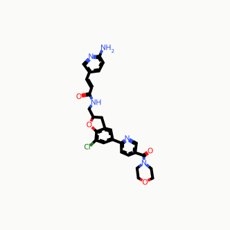 Nc1ccc(C=CC(=O)NCC2Cc3cc(-c4ccc(C(=O)N5CCOCC5)cn4)cc(Cl)c3O2)cn1